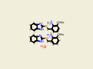 COc1cccc(CSc2nc3ccccc3[nH]2)c1N.COc1cccc(CSc2nc3ccccc3[nH]2)c1N.O